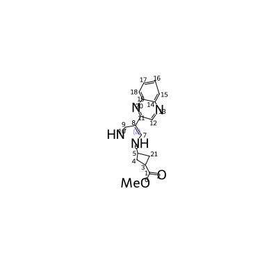 COC(=O)C1CC(N/C=C(\C=N)c2cnc3ccccc3n2)C1